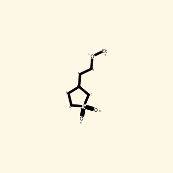 CCOCCC1CCS(=O)(=O)C1